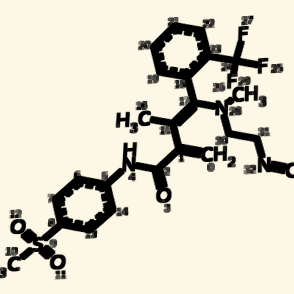 C=C(C(=O)Nc1ccc(S(C)(=O)=O)cc1)/C(C)=C(/c1ccccc1C(F)(F)F)N(C)CCN=O